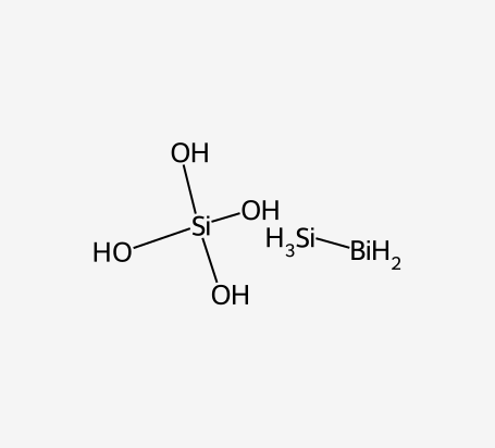 O[Si](O)(O)O.[SiH3][BiH2]